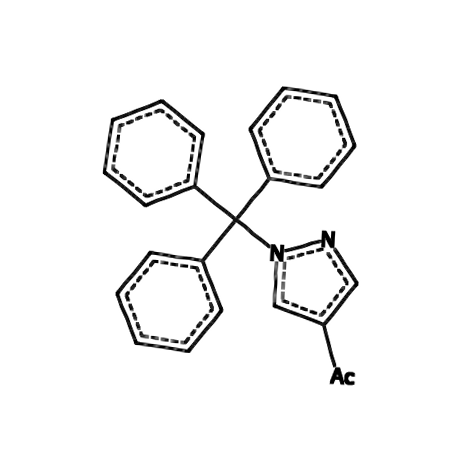 CC(=O)c1cnn(C(c2ccccc2)(c2ccccc2)c2ccccc2)c1